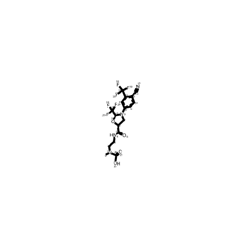 CN(CCNC(=O)C1CN(c2ccc(C#N)c(C(F)(F)F)c2)C(C(F)(F)F)O1)C(=O)O